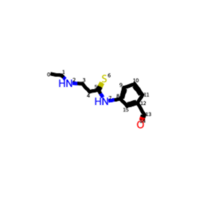 CCNCCC(=S)Nc1cccc(C=O)c1